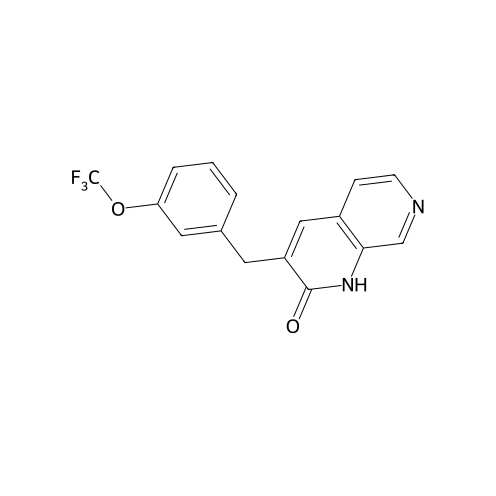 O=c1[nH]c2cnccc2cc1Cc1cccc(OC(F)(F)F)c1